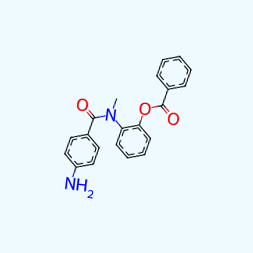 CN(C(=O)c1ccc(N)cc1)c1ccccc1OC(=O)c1ccccc1